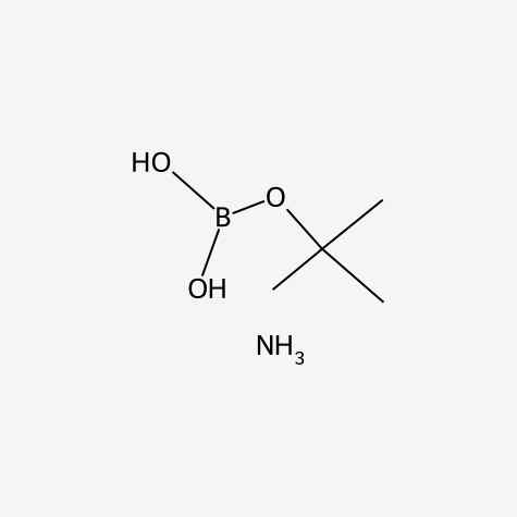 CC(C)(C)OB(O)O.N